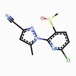 Cc1cc(C#N)nn1-c1nc(Cl)ccc1[S+](C)[O-]